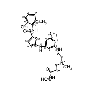 Cc1nc(NCCN(C)CCC(=O)NO)cc(Nc2ncc(C(=O)Nc3c(C)cccc3Cl)s2)n1